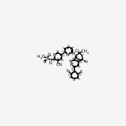 CC1(C)C[C@H]2CC[C@]1(c1cccc(-c3cnc(NS(C)(=O)=O)c(C#N)c3)n1)c1nnc(-c3c(F)cccc3F)cc12